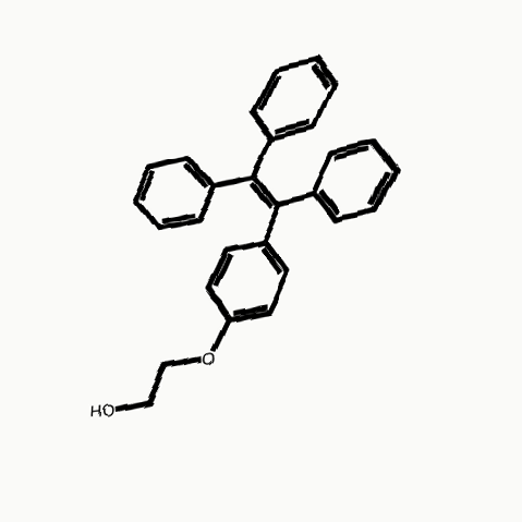 OCCOc1ccc(C(=C(c2ccccc2)c2ccccc2)c2ccccc2)cc1